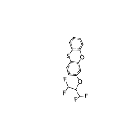 FC(F)C(Oc1ccc2c(c1)Oc1ccccc1S2)C(F)F